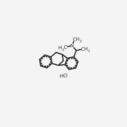 CC(c1cccc2c1C1Cc3ccccc3C2C1)N(C)C.Cl